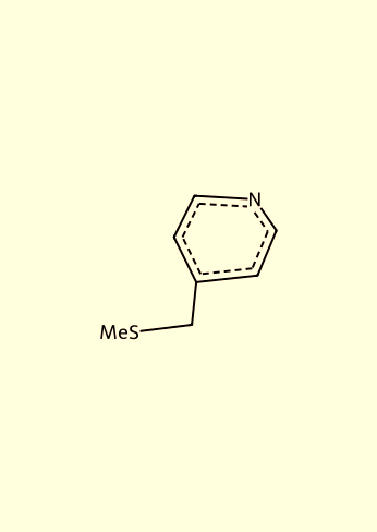 [CH2]SCc1ccncc1